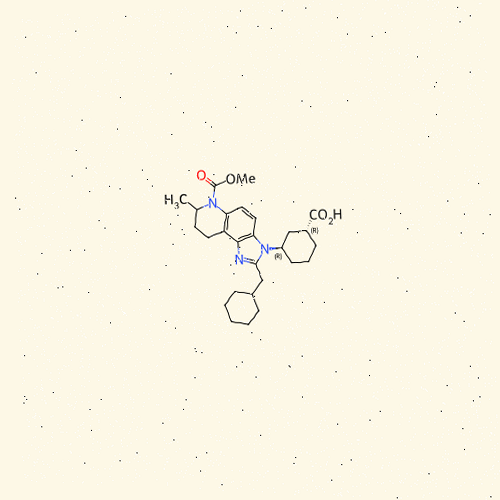 COC(=O)N1c2ccc3c(nc(CC4CCCCC4)n3[C@@H]3CCC[C@@H](C(=O)O)C3)c2CCC1C